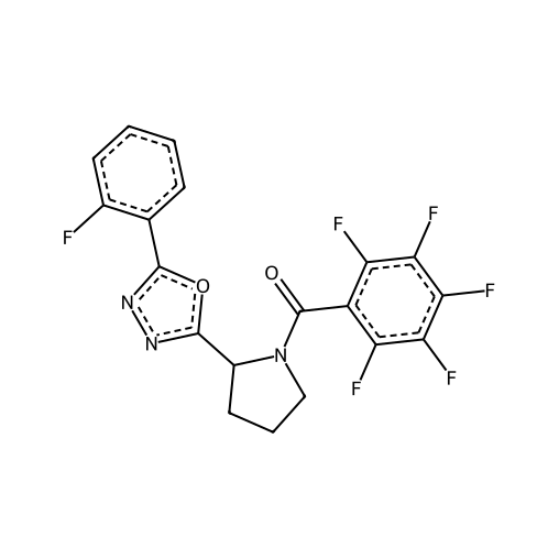 O=C(c1c(F)c(F)c(F)c(F)c1F)N1CCCC1c1nnc(-c2ccccc2F)o1